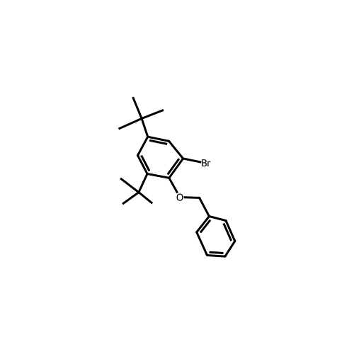 CC(C)(C)c1cc(Br)c(OCc2ccccc2)c(C(C)(C)C)c1